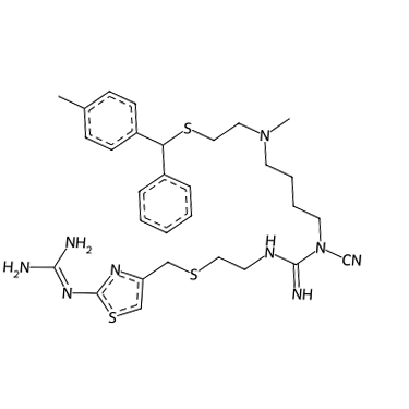 Cc1ccc(C(SCCN(C)CCCCN(C#N)C(=N)NCCSCc2csc(N=C(N)N)n2)c2ccccc2)cc1